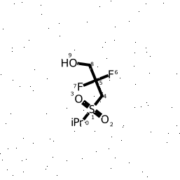 CC(C)S(=O)(=O)CC(F)(F)[CH]O